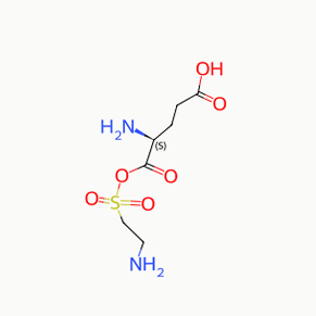 NCCS(=O)(=O)OC(=O)[C@@H](N)CCC(=O)O